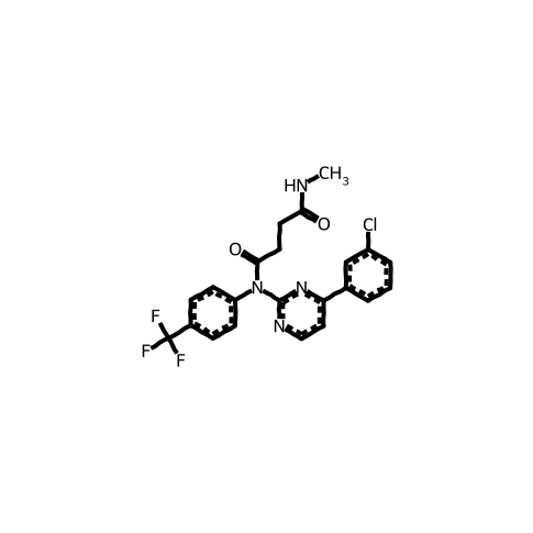 CNC(=O)CCC(=O)N(c1ccc(C(F)(F)F)cc1)c1nccc(-c2cccc(Cl)c2)n1